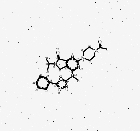 CC(=O)N1CCN(c2nc3c(c(N(C)c4nnc(-c5ccccc5)o4)n2)CN(C(C)C)C3=O)CC1